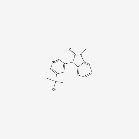 CN1C(=O)C(c2cncc(C(C)(C)O)c2)c2ccccc21